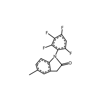 Cc1ccc2c(c1)CC(=O)N2c1c(F)cc(F)c(F)c1F